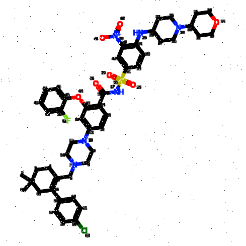 CC1(C)CCC(CN2CCN(c3ccc(C(=O)NS(=O)(=O)c4ccc(NC5CCN(C6CCOCC6)CC5)c([N+](=O)[O-])c4)c(Oc4ccccc4F)c3)CC2)=C(c2ccc(Cl)cc2)C1